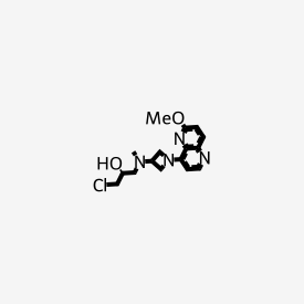 COc1ccc2nccc(N3CC(N(C)C[C@@H](O)CCl)C3)c2n1